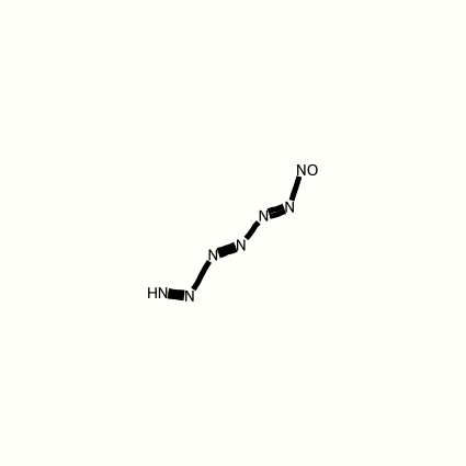 N=N/N=N/N=N/N=O